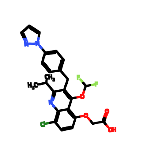 CC(C)c1nc2c(Cl)ccc(OCC(=O)O)c2c(OC(F)F)c1Cc1ccc(-n2cccn2)cc1